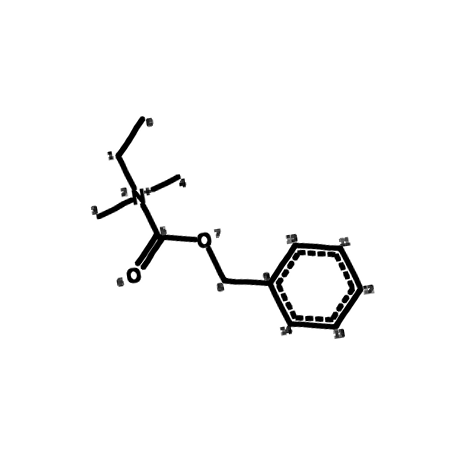 CC[N+](C)(C)C(=O)OCc1ccccc1